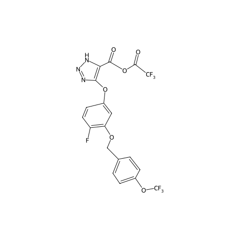 O=C(OC(=O)C(F)(F)F)c1[nH]nnc1Oc1ccc(F)c(OCc2ccc(OC(F)(F)F)cc2)c1